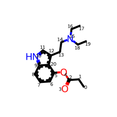 CCC(=O)Oc1cccc2[nH]cc(CCN(CC)CC)c12